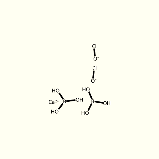 OB(O)O.OB(O)O.[Ca+2].[O-]Cl.[O-]Cl